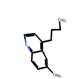 COc1ccc2nccc(CCCC=O)c2c1